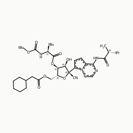 CC(C)[C@@H](C)C(=O)Nc1ncnn2c([C@]3(C#N)O[C@H](COC(=O)CC4CCCCC4)[C@@H](OC(=O)[C@@H](NC(=O)OC(C)(C)C)C(C)(C)C)[C@H]3O)ccc12